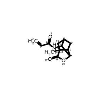 C=CC(=O)NC1C2CC3C1OC(=O)C3(C)C2